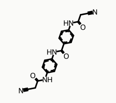 N#CCC(=O)Nc1ccc(NC(=O)c2ccc(NC(=O)CC#N)cc2)cc1